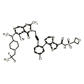 Cc1nc2cnc(N(C)C3CCN(CC(C)(F)F)CC3)c(C#N)c2c(=O)n1CC#Cc1ccc(Cl)cc1-c1ccnc2c(C(=O)NS(=O)(=O)C3COC3)csc12